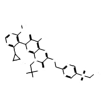 C=C1C(C)=c2nc(NCc3ncc(S(=O)(=O)CC)cn3)c(=O)n([C@@H](C)C(F)(F)F)c2=NC1c1c(OC)ncnc1C1CC1